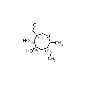 CC[C@@H]1C[C@@H](O)[C@H](O)[C@@H](CO)COC1C